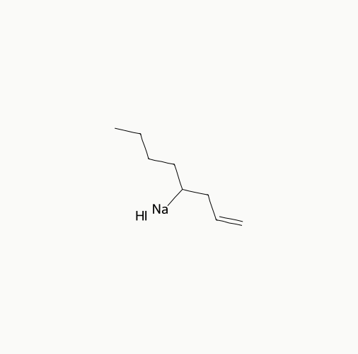 C=CC[CH]([Na])CCCC.I